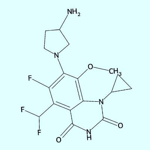 COc1c(N2CCC(N)C2)c(F)c(C(F)F)c2c(=O)[nH]c(=O)n(C3CC3)c12